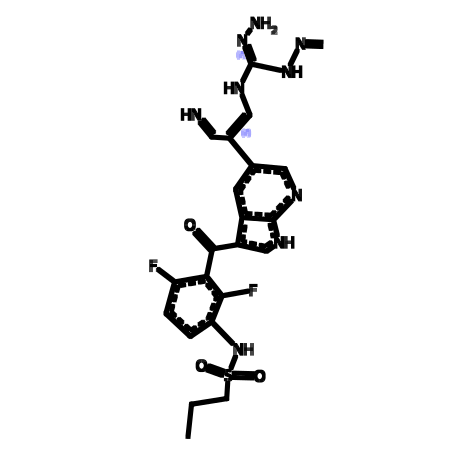 C=NN/C(=N\N)N/C=C(\C=N)c1cnc2[nH]cc(C(=O)c3c(F)ccc(NS(=O)(=O)CCC)c3F)c2c1